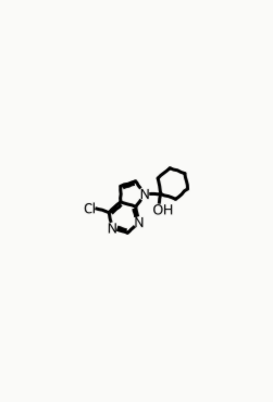 OC1(n2ccc3c(Cl)ncnc32)CCCCC1